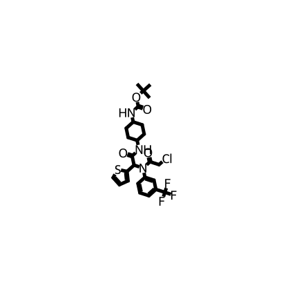 CC(C)(C)OC(=O)NC1CCC(NC(=O)C(c2cccs2)N(C(=O)CCl)c2cccc(C(F)(F)F)c2)CC1